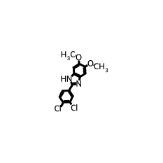 COc1cc2nc(-c3ccc(Cl)c(Cl)c3)[nH]c2cc1OC